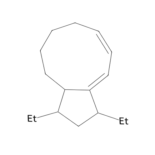 CCC1CC(CC)C2CCCCC=CC=C12